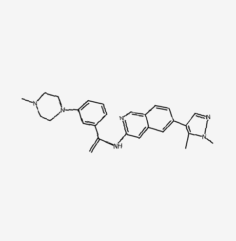 C=C(Nc1cc2cc(-c3cnn(C)c3C)ccc2cn1)c1cccc(N2CCN(C)CC2)c1